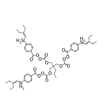 CCCC(COC(=O)OOC(=O)c1ccc([SiH2]C=C(CC)CC)cc1)(COC(=O)OOC(=O)c1ccc([SiH2]C=C(CC)CC)cc1)COC(=O)OOC(=O)c1ccc([SiH2]C=C(CC)CC)cc1